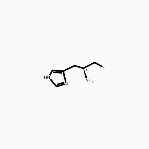 N[C@H](CF)Cc1c[nH]cn1